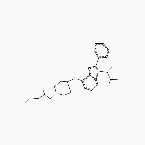 COCC(O)CN1CCC(Nc2cccc3c2cc(-c2ccccc2)n3C(F)C(F)F)CC1